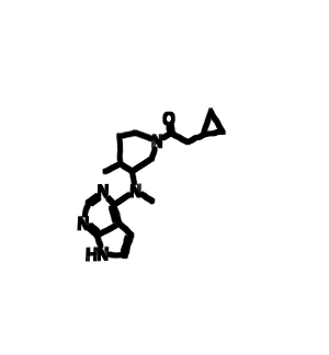 CC1CCN(C(=O)CC2CC2)CC1N(C)c1ncnc2[nH]ccc12